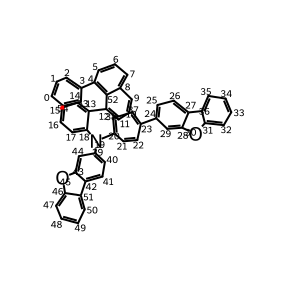 c1ccc(-c2cccc3cccc(-c4ccccc4N(c4ccc(-c5ccc6c(c5)oc5ccccc56)cc4)c4ccc5c(c4)oc4ccccc45)c23)cc1